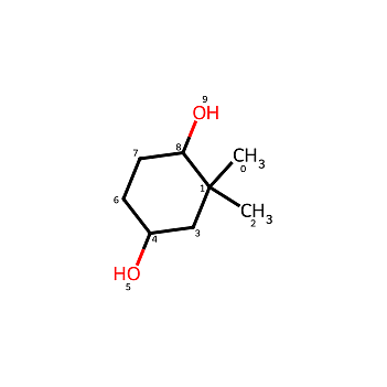 CC1(C)CC(O)CCC1O